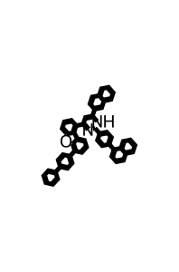 C1=C(c2ccc3ccccc3c2)NC(c2ccc(-c3cccc4ccccc34)cc2)N=C1c1cccc2oc3c(-c4ccc(-c5ccccc5)cc4)cccc3c12